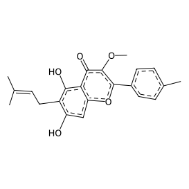 COc1c(-c2ccc(C)cc2)oc2cc(O)c(CC=C(C)C)c(O)c2c1=O